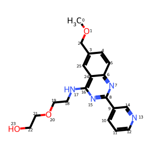 COCc1ccc2nc(-c3cccnc3)nc(NCCOCCO)c2c1